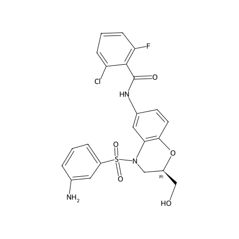 Nc1cccc(S(=O)(=O)N2C[C@H](CO)Oc3ccc(NC(=O)c4c(F)cccc4Cl)cc32)c1